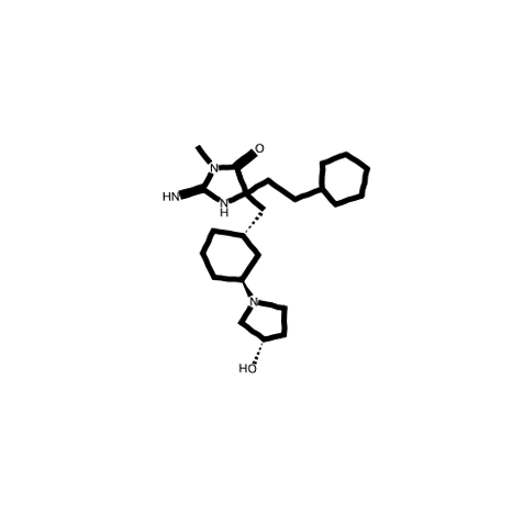 CN1C(=N)NC(CCC2CCCCC2)(C[C@H]2CCC[C@H](N3CC[C@H](O)C3)C2)C1=O